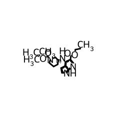 CCCOC(=O)c1cnc2[nH]ccc2c1N[C@@H]1CCCN(C(=O)OC(C)(C)C)C1